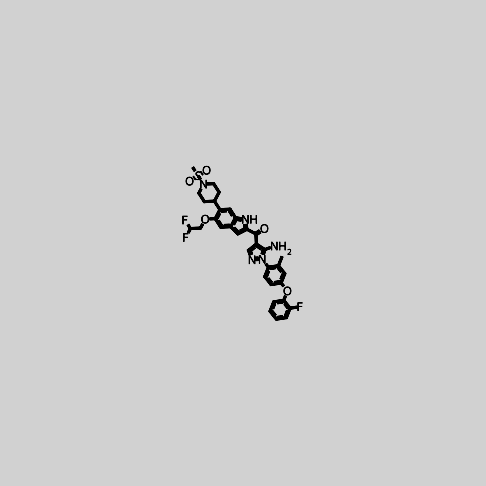 Cc1cc(Oc2ccccc2F)ccc1-n1ncc(C(=O)c2cc3cc(OCC(F)F)c(C4CCN(S(C)(=O)=O)CC4)cc3[nH]2)c1N